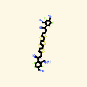 N#C/C(=C\c1cc2sc3c(sc4c5sc(/C=C(\C#N)c6c(F)c(F)c(C=N)c(F)c6C=N)cc5sc43)c2s1)c1c(F)c(F)c(C=N)c(F)c1C=N